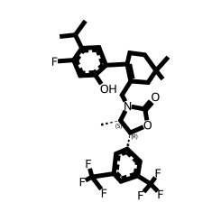 CC(C)c1cc(C2=C(CN3C(=O)O[C@H](c4cc(C(F)(F)F)cc(C(F)(F)F)c4)[C@@H]3C)CC(C)(C)CC2)c(O)cc1F